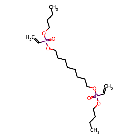 C=CP(=O)(OCCCC)OCCCCCCCCOP(=O)(C=C)OCCCC